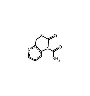 NC(=O)N1C(=O)[C]Cc2ncccc21